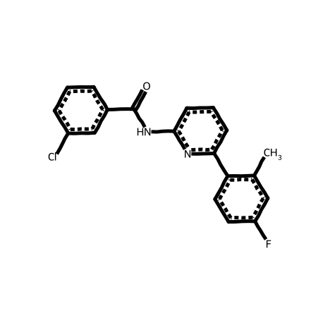 Cc1cc(F)ccc1-c1cccc(NC(=O)c2cccc(Cl)c2)n1